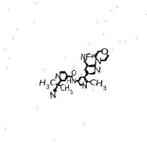 Cc1ncc(NC(=O)c2ccnc(C(C)(C)C#N)c2)cc1-c1cnc(N2CCOC[C@H]2F)c(C#N)c1